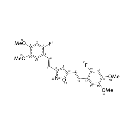 COc1cc(F)c(/C=C/c2cc(/C=C/c3cc(OC)c(OC)cc3F)on2)cc1OC